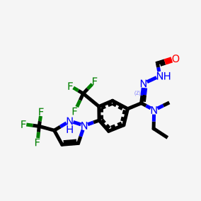 CCN(C)/C(=N\NC=O)c1ccc(N2C=CC(C(F)(F)F)N2)c(C(F)(F)F)c1